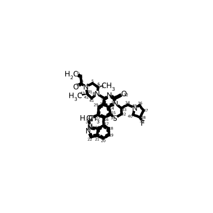 C=CC(=O)N1C[C@H](C)N(c2nc(=O)n3c4c(c(-c5cccc6cnn(C)c56)c(C)cc24)SCC3CN2CCC(F)C2)C[C@H]1C